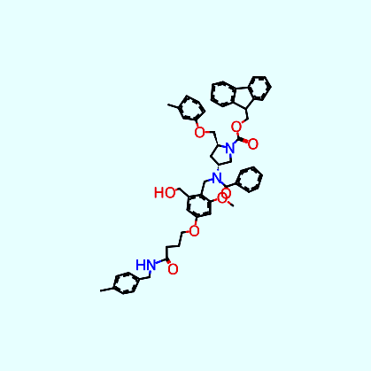 COc1cc(OCCCC(=O)NCc2ccc(C)cc2)cc(CO)c1CN(C(=O)c1ccccc1)[C@@H]1C[C@@H](COc2cccc(C)c2)N(C(=O)OCC2c3ccccc3-c3ccccc32)C1